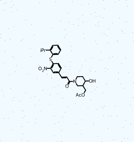 CC(=O)OCC1CN(C(=O)C=Cc2ccc(Sc3ccccc3C(C)C)c([N+](=O)[O-])c2)CCC1O